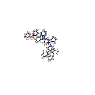 c1ccc([Si](c2ccccc2)(c2ccccc2)c2ccc(-n3c4ccccc4c4cc(-n5c6ccccc6c6c(-c7cccc8c7oc7ccccc78)cccc65)ccc43)cc2)cc1